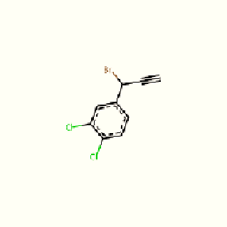 C#CC(Br)c1ccc(Cl)c(Cl)c1